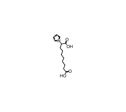 O=C(O)CCCCCCCC(C(=O)O)n1cccc1